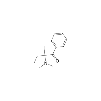 CCC(I)(C(=O)c1ccccc1)N(C)C